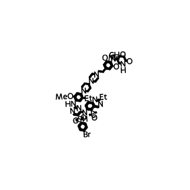 CCc1ncc2c(P(C)(C)=O)c(Nc3nc(Nc4cc(CC)c(N5CCC(N6CCN(CCc7ccc(N(C=O)C8CCC(=O)NC8=O)c(OC)c7)CC6)CC5)cc4OC)ncc3S(=O)(=O)c3ccc(Br)cc3)ccc2n1